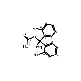 CCCCCCCC(O[PH](=O)O)(c1ccccc1C(C)C)c1ccccc1C(C)C